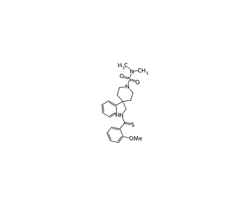 COc1ccccc1C(=S)NCC1(c2ccccc2)CCN(S(=O)(=O)N(C)C)CC1